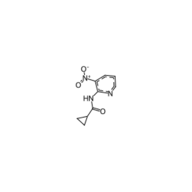 O=C(Nc1ncccc1[N+](=O)[O-])C1CC1